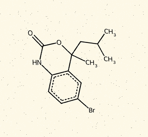 CC(C)CC1(C)OC(=O)Nc2ccc(Br)cc21